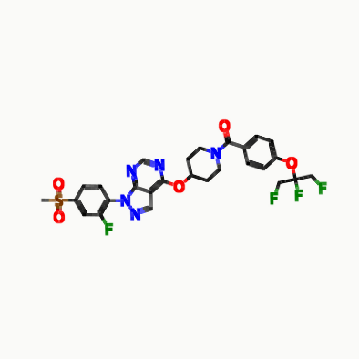 CS(=O)(=O)c1ccc(-n2ncc3c(OC4CCN(C(=O)c5ccc(OC(F)(CF)CF)cc5)CC4)ncnc32)c(F)c1